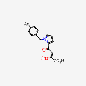 CC(=O)c1ccc(Cn2cccc2C(=O)C=C(O)C(=O)O)cc1